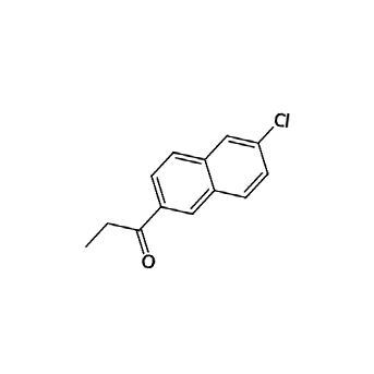 CCC(=O)c1ccc2cc(Cl)ccc2c1